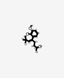 COc1cccc2c1OCC(C)(C)C=C2CCC(C)=O